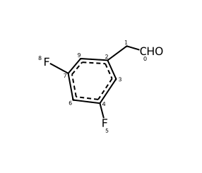 O=CCc1cc(F)cc(F)c1